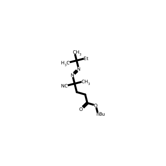 CCCCOC(=O)CCC(C)(C#N)/N=N/C(C)(C)CC